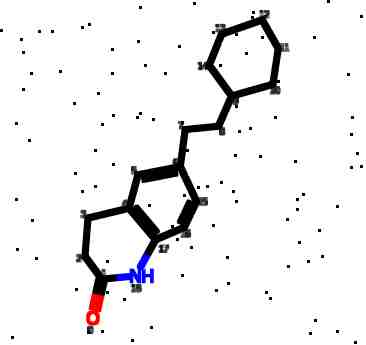 O=C1CCc2cc(CCC3CCCCC3)ccc2N1